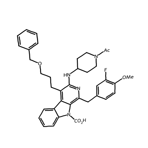 COc1ccc(Cc2nc(NC3CCN(C(C)=O)CC3)c(CCCOCc3ccccc3)c3c4ccccc4n(C(=O)O)c23)cc1F